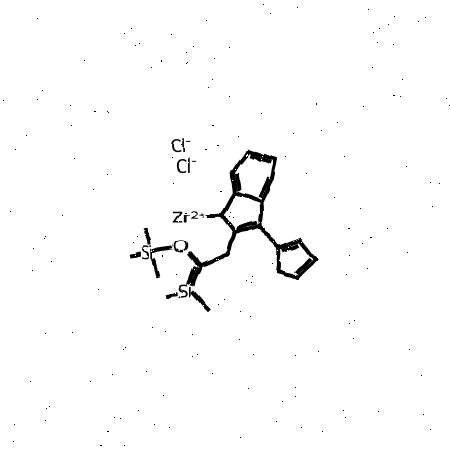 C[Si](C)=C(CC1=C(C2=CC=CC2)c2ccccc2[CH]1[Zr+2])O[Si](C)(C)C.[Cl-].[Cl-]